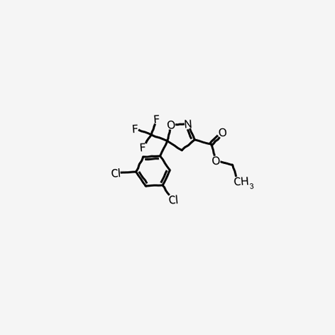 CCOC(=O)C1=NOC(c2cc(Cl)cc(Cl)c2)(C(F)(F)F)C1